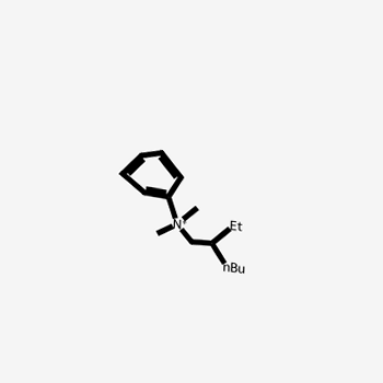 CCCCC(CC)C[N+](C)(C)c1ccccc1